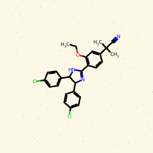 CCOc1cc(C(C)(C)C#N)ccc1C1=NC(c2ccc(Cl)cc2)C(c2ccc(Cl)cc2)N1